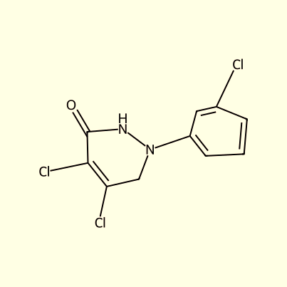 O=C1NN(c2cccc(Cl)c2)CC(Cl)=C1Cl